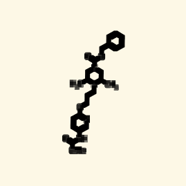 COC(=O)Nc1ccc(OCCCN2[C@H](C)CN(C(=O)OCc3ccccc3)C[C@@H]2C)nc1